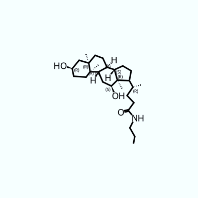 CCCNC(=O)CC[C@@H](C)C1CC[C@H]2[C@@H]3CC[C@]4(C)C[C@H](O)CC[C@]4(C)[C@H]3C[C@H](O)[C@]12C